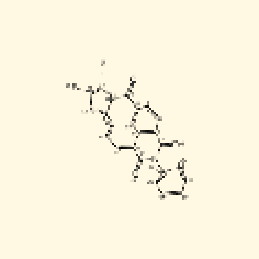 O=C1c2ccc3c(=O)n4c(F)c(F)nc4c4ccc(c2c34)C(=O)N1c1ccccn1